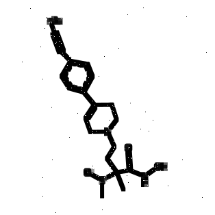 CCCCC#Cc1ccc(C2=CCN(CCC(C)(C(=O)NO)[S+](C)[O-])CC2)cc1